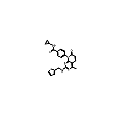 Cc1nc(NCc2ccco2)nc2c1ccc(=O)n2-c1ccc(C(=O)NC2CC2)cc1